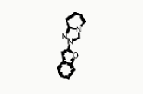 [c]1ccc2cc(N3CN4C=CC=CC4=N3)oc2c1